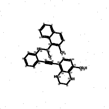 Cc1ccc2cccnc2c1[S+]([O-])Nc1ccccc1C#Cc1cnc(C(=O)O)c2c1NCCN2